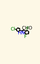 O=Cc1c(-c2ccc(Cl)cc2)[nH]c2c(F)ccc(F)c12